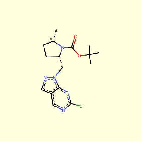 C[C@H]1CC[C@@H](Cn2ncc3cnc(Cl)nc32)N1C(=O)OC(C)(C)C